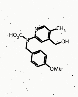 COc1ccc(CN(C(=O)O)c2cc(CO)c(C)cn2)cc1